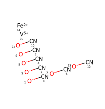 N#C[O-].N#C[O-].N#C[O-].N#C[O-].N#C[O-].N#C[O-].N#C[O-].[Fe+2].[V+5]